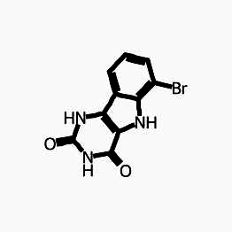 O=c1[nH]c(=O)c2[nH]c3c(Br)cccc3c2[nH]1